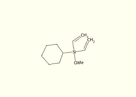 C=C[Si](C=C)(OC)C1CCCCC1